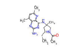 CCCCC(C)(CNC(C)=O)Nc1nc(N)nc2c(C)cc(C)nc12